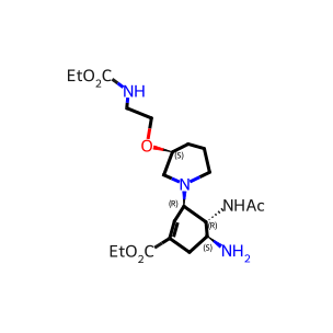 CCOC(=O)NCCO[C@H]1CCCN([C@@H]2C=C(C(=O)OCC)C[C@H](N)[C@H]2NC(C)=O)C1